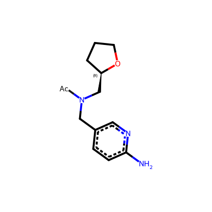 CC(=O)N(Cc1ccc(N)nc1)C[C@H]1CCCO1